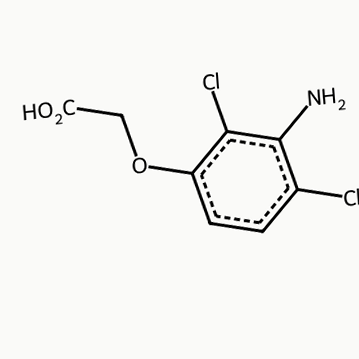 Nc1c(Cl)ccc(OCC(=O)O)c1Cl